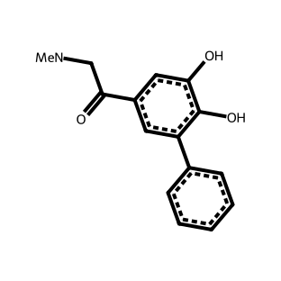 CNCC(=O)c1cc(O)c(O)c(-c2ccccc2)c1